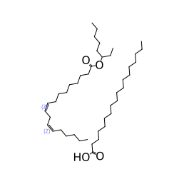 CCCCC/C=C\C/C=C\CCCCCCCC(=O)OC(CC)CCCCC.CCCCCCCCCCCCCCCCCC(=O)O